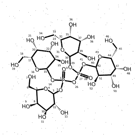 O=P(OC1O[C@H](CO)[C@H](O)[C@H](O)[C@H]1O)(OC1O[C@H](CO)[C@H](O)[C@H](O)[C@H]1O)OP(=O)(OC1O[C@H](CO)[C@H](O)[C@H](O)[C@H]1O)OC1O[C@H](CO)[C@H](O)[C@H](O)[C@H]1O